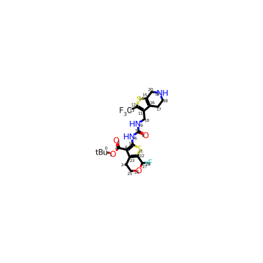 CC(C)(C)OC(=O)c1c(NC(=O)NCc2c(C(F)(F)F)sc3c2CCNC3)sc2c1CCOC2F